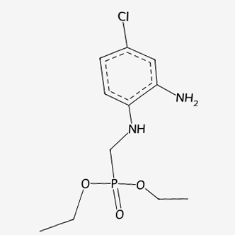 CCOP(=O)(CNc1ccc(Cl)cc1N)OCC